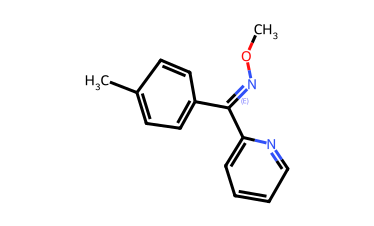 CO/N=C(\c1ccc(C)cc1)c1ccccn1